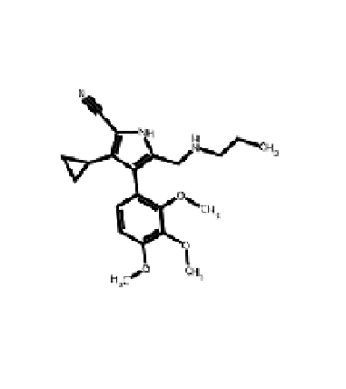 CCCNCc1[nH]c(C#N)c(C2CC2)c1-c1ccc(OC)c(OC)c1OC